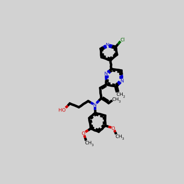 C=c1ncc(-c2ccnc(Cl)c2)n/c1=C/C(=C\C)N(CCCO)c1cc(OC)cc(OC)c1